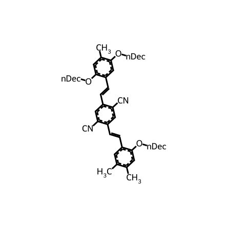 [C-]#[N+]c1cc(/C=C/c2cc(OCCCCCCCCCC)c(C)cc2OCCCCCCCCCC)c(C#N)cc1/C=C/c1cc(C)c(C)cc1OCCCCCCCCCC